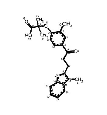 Cc1cc(C(=O)CCc2sc3ccccc3c2C)ccc1OC(C)(C)C(=O)O